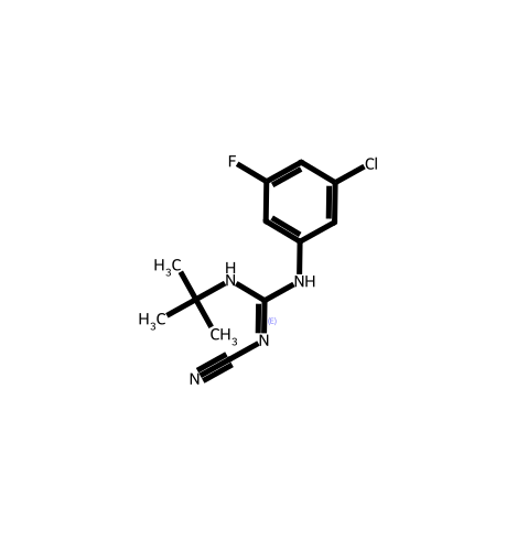 CC(C)(C)N/C(=N\C#N)Nc1cc(F)cc(Cl)c1